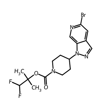 CC(C)(OC(=O)N1CCC(n2ncc3cc(Br)ncc32)CC1)C(F)F